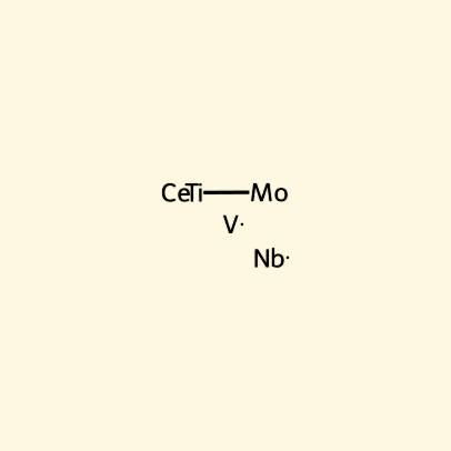 [Ce].[Nb].[Ti][Mo].[V]